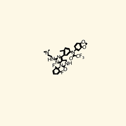 Cc1ccc(N(C(=O)C(F)(F)F)c2ccc3c(c2)OCO3)cc1-c1nc(NCCN(C)C)nc2c1CNC(=O)N2c1c(F)cccc1F